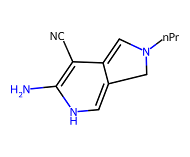 CCCN1C=C2C(=CNC(N)=C2C#N)C1